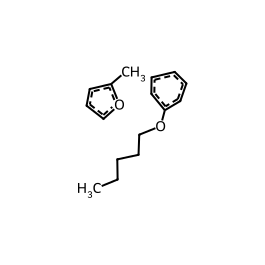 CCCCCOc1ccccc1.Cc1ccco1